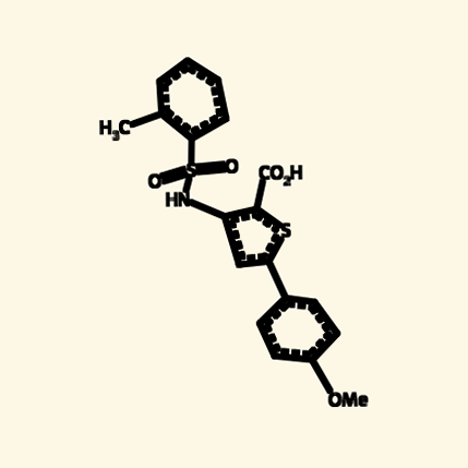 COc1ccc(-c2cc(NS(=O)(=O)c3ccccc3C)c(C(=O)O)s2)cc1